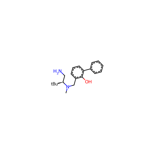 CN(Cc1cccc(-c2ccccc2)c1O)[C@H](CN)C(C)(C)C